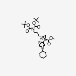 COC(=O)[C@@]1(c2cn(C3CCCCC3)cn2)C[C@H]1CCCN(C(=O)OC(C)(C)C)C(=O)OC(C)(C)C